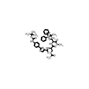 COC(=O)C(CO[Si](c1ccccc1)(c1ccccc1)C(C)(C)C)NC(=O)C(COC(C)=O)NC(=O)c1cnc(-c2ccc(NC(=O)OC(C)(C)C)cc2)s1